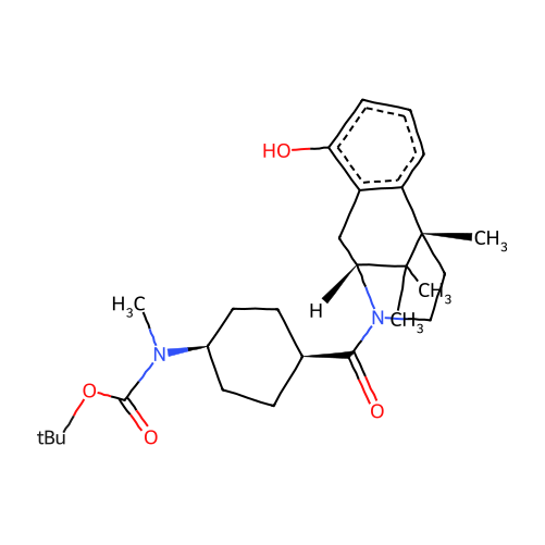 CN(C(=O)OC(C)(C)C)[C@H]1CC[C@@H](C(=O)N2CC[C@@]3(C)c4cccc(O)c4C[C@@H]2C3(C)C)CC1